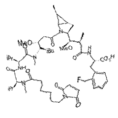 CC[C@H](C)[C@@H]([C@@H](CC(=O)N1C2C(C[C@H]1[C@H](OC)[C@@H](C)C(=O)N[C@@H](Cc1ccccc1F)C(=O)O)[C@@H]2C)OC)N(C)C(=O)[C@@H](NC(=O)[C@H](C(C)C)N(C)C(=O)CCCCCN1C(=O)C=CC1=O)C(C)C